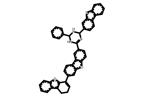 C1=C(c2ccc3c(c2)oc2ccc(C4=NC(c5ccc6c(c5)sc5ccccc56)NC(c5ccccc5)N4)cc23)c2oc3ccccc3c2CC1